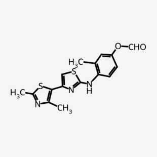 Cc1nc(C)c(-c2csc(Nc3ccc(OC=O)cc3C)n2)s1